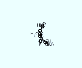 C[C@@H](c1ccc(-c2ccc(=O)[nH]c2)cc1)N1CC[C@](CCCO[Si](C)(C)C(C)(C)C)(c2ccc(F)cc2)OC1=O